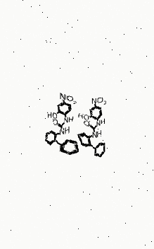 O=C(Nc1ccc([N+](=O)[O-])cc1O)Nc1ccccc1-c1ccccc1.O=C(Nc1ccc([N+](=O)[O-])cc1O)Nc1ccccc1-c1ccccc1